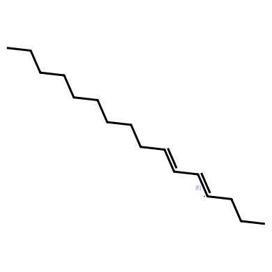 CCC/[C]=C/C=CCCCCCCCCC